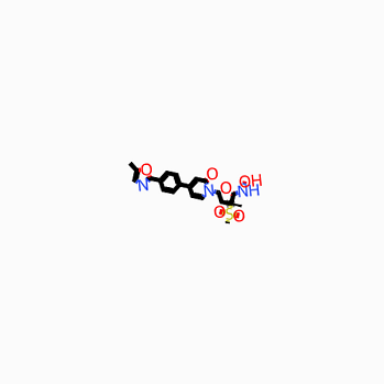 Cc1cnc(-c2ccc(-c3ccn(CC[C@](C)(C(=O)NO)S(C)(=O)=O)c(=O)c3)cc2)o1